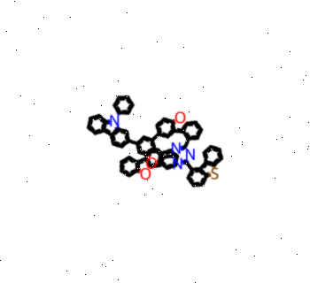 c1ccc(-n2c3ccccc3c3ccc(-c4cc(-c5ccc6oc7cccc(-c8nc(-c9ccc%10c(c9)oc9ccccc9%10)nc(-c9cccc%10sc%11ccccc%11c9%10)n8)c7c6c5)c5c(c4)oc4ccccc45)cc32)cc1